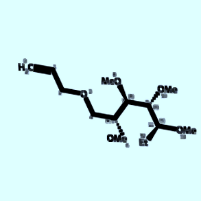 C=CCOC[C@@H](OC)[C@@H](OC)[C@H](OC)[C@H](CC)OC